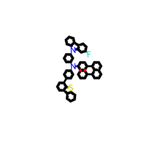 Fc1ccc2c3ccccc3n(-c3cccc(N(c4ccc(-c5cccc6c5sc5ccccc56)cc4)c4ccc(-c5cccc6cccc(-c7ccccc7)c56)cc4)c3)c2c1